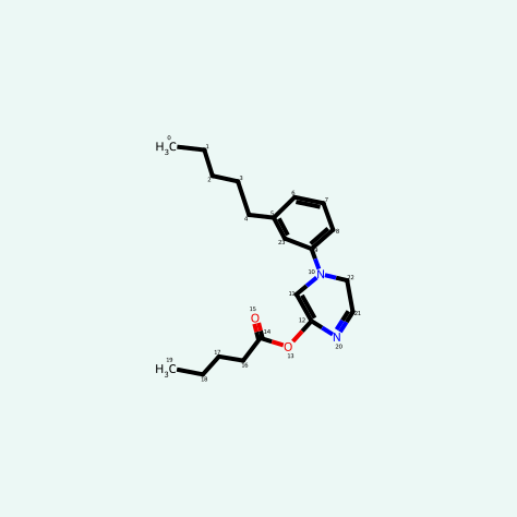 CCCCCc1cccc(N2C=C(OC(=O)CCCC)N=CC2)c1